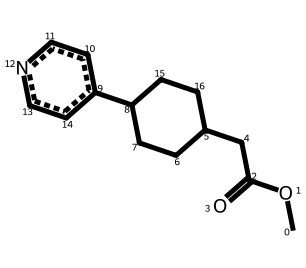 COC(=O)CC1CCC(c2ccncc2)CC1